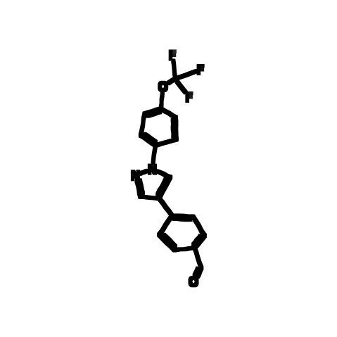 O=Cc1ccc(-c2cnn(-c3ccc(OC(F)(F)F)cc3)c2)cc1